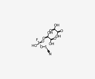 N#CSOP(=O)(O)F.O=C(O)C(=O)O.O=C(O)C(=O)O